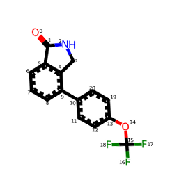 O=C1NCc2c1cccc2-c1ccc(OC(F)(F)F)cc1